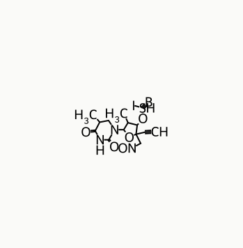 B#[SH](I)OC1C(C)C(N2CC(C)C(=O)NC2=O)OC1(C#C)CN=O